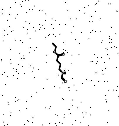 CCOC(=O)CCCNC=O